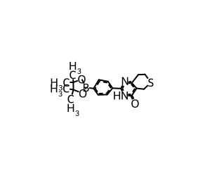 CC1(C)OB(c2ccc(-c3nc4c(c(=O)[nH]3)CSCC4)cc2)OC1(C)C